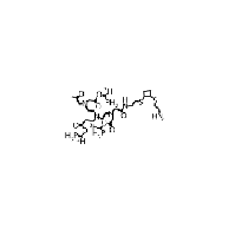 [3H]C(P)OC(=O)CCN(CCN(CC(C)=O)CC(=O)OC([3H])P)CCN(CC(=O)NCCSC1CCC1SCCNC)CC(=O)OC([3H])P